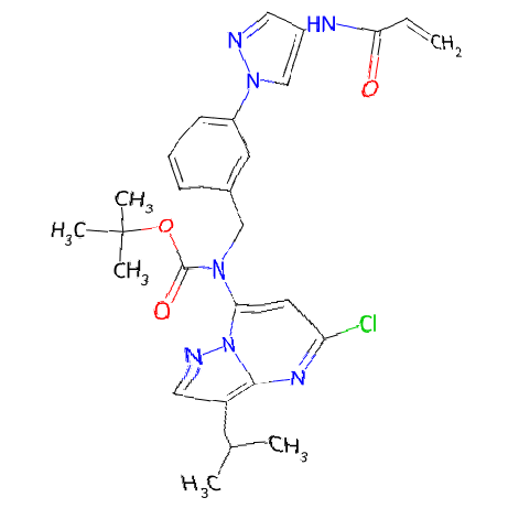 C=CC(=O)Nc1cnn(-c2cccc(CN(C(=O)OC(C)(C)C)c3cc(Cl)nc4c(C(C)C)cnn34)c2)c1